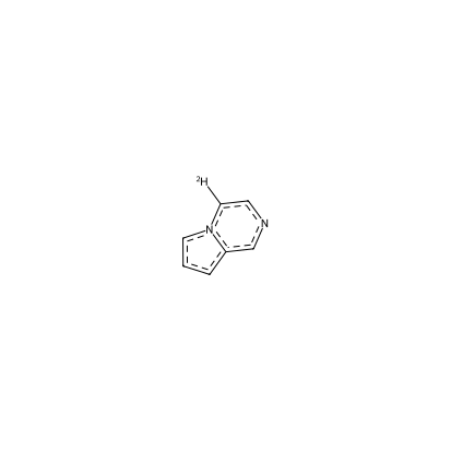 [2H]c1cncc2cccn12